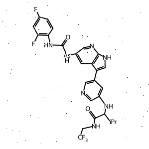 CC(C)C(Nc1cncc(-c2c[nH]c3ncc([AsH]C(=O)Nc4ccc(F)cc4F)cc23)c1)C(=O)NCC(F)(F)F